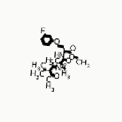 CCOC(=O)[C@H](CCOc1cccc(F)c1)NC(=O)C(C)(C)NC(=S)[C@H](C(C)=O)C(C)C